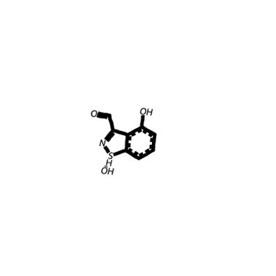 O=CC1=N[SH](O)c2cccc(O)c21